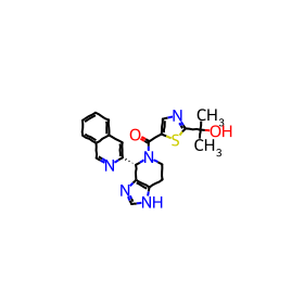 CC(C)(O)c1ncc(C(=O)N2CCc3[nH]cnc3[C@@H]2c2cc3ccccc3cn2)s1